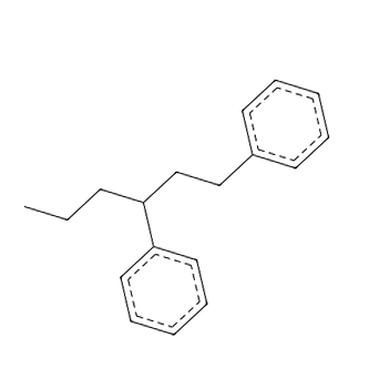 CCCC(CCc1ccccc1)c1ccccc1